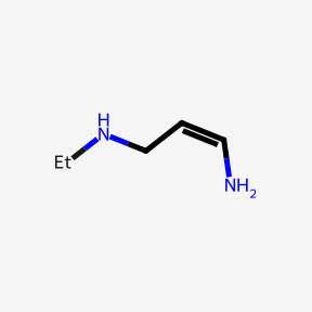 CCNC/C=C\N